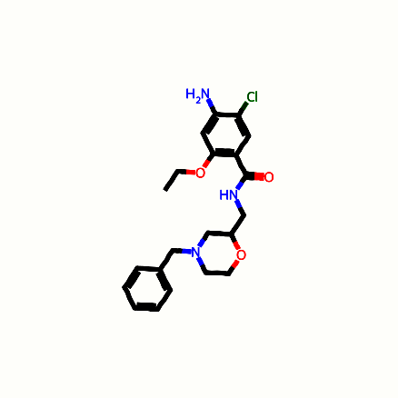 CCOc1cc(N)c(Cl)cc1C(=O)NCC1CN(Cc2ccccc2)CCO1